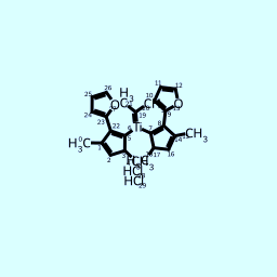 CC1=CC(C)[C]([Ti]([C]2=C(c3ccco3)C(C)=CC2C)=[C](C)C)=C1c1ccco1.Cl.Cl